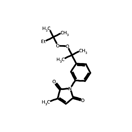 CCC(C)(C)OOC(C)(C)c1cccc(N2C(=O)C=C(C)C2=O)c1